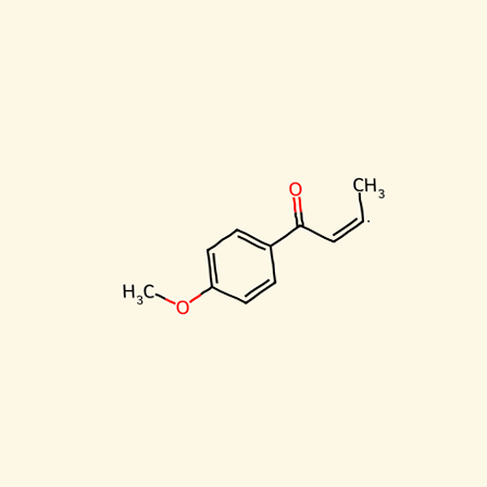 C/[C]=C\C(=O)c1ccc(OC)cc1